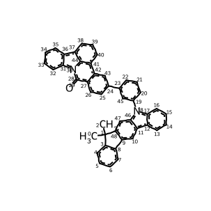 CC1(C)c2ccccc2-c2cc3c4ccccc4n(-c4cccc(-c5ccc6c(=O)n7c8ccccc8c8cccc(c6c5)c87)c4)c3cc21